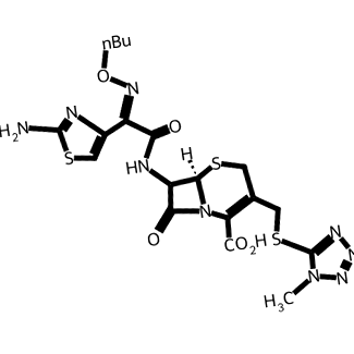 CCCCO/N=C(/C(=O)NC1C(=O)N2C(C(=O)O)=C(CSc3nnnn3C)CS[C@H]12)c1csc(N)n1